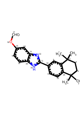 CC1(C)CCC(C)(C)c2cc(-c3nc4cc(OC=O)ccc4[nH]3)ccc21